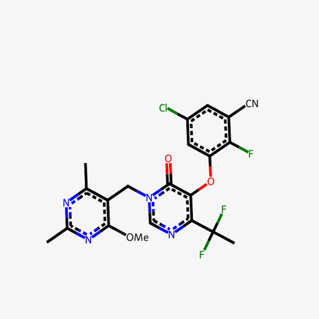 COc1nc(C)nc(C)c1Cn1cnc(C(C)(F)F)c(Oc2cc(Cl)cc(C#N)c2F)c1=O